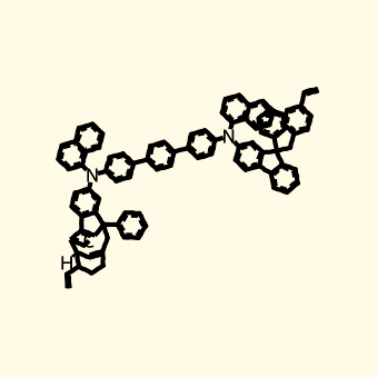 C=Cc1ccc(CC2(c3ccccc3)c3ccccc3-c3ccc(N(c4ccc(-c5ccc(-c6ccc(N(c7ccc8c(c7)C7(c9ccccc9)CC9=C[C@@H](C%10=CCCC7=C%108)C(C=C)CC9)c7cccc8ccccc78)cc6)cc5)cc4)c4cccc5ccccc45)cc32)cc1